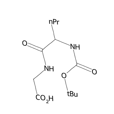 CCCC(NC(=O)OC(C)(C)C)C(=O)NCC(=O)O